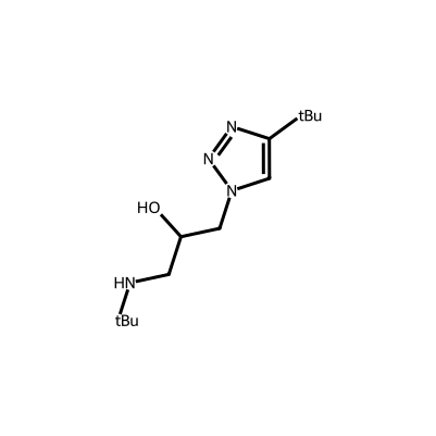 CC(C)(C)NCC(O)Cn1cc(C(C)(C)C)nn1